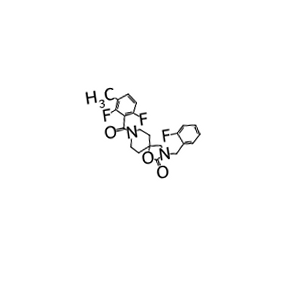 Cc1ccc(F)c(C(=O)N2CCC3(CC2)CN(Cc2ccccc2F)C(=O)O3)c1F